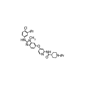 CC(C)c1cc(Nc2nc3ccc(Oc4ccnc(NC(=O)C5CCN(C(C)C)CC5)c4)cc3n2C)ccc1Cl